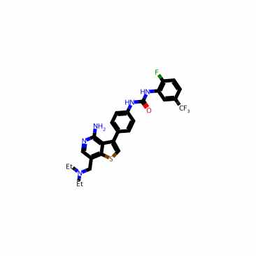 CCN(CC)Cc1cnc(N)c2c(-c3ccc(NC(=O)Nc4cc(C(F)(F)F)ccc4F)cc3)csc12